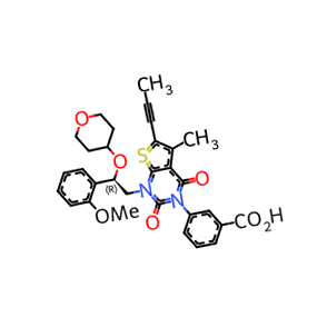 CC#Cc1sc2c(c1C)c(=O)n(-c1cccc(C(=O)O)c1)c(=O)n2C[C@H](OC1CCOCC1)c1ccccc1OC